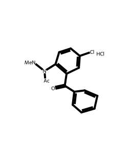 CNN(C(C)=O)c1ccc(Cl)cc1C(=O)c1ccccc1.Cl